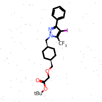 CC(C)(C)OC(=O)COC[C@H]1CC[C@@H](Cn2nc(-c3ccccc3)c(I)c2C(F)(F)F)CC1